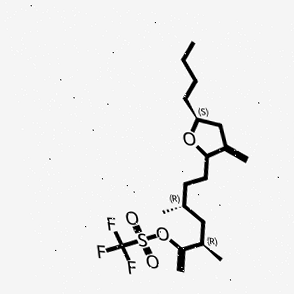 C=C1C[C@H](CCCC)OC1CC[C@@H](C)C[C@@H](C)C(=C)OS(=O)(=O)C(F)(F)F